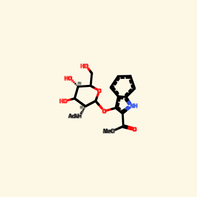 COC(=O)c1[nH]c2ccccc2c1OC1OC(CO)[C@@H](O)C(O)[C@H]1NC(C)=O